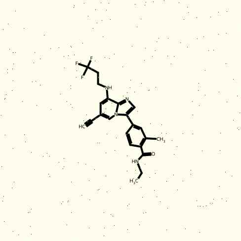 C#Cc1cc(NCCC(F)(F)F)c2ncc(-c3ccc(C(=O)NCC)c(C)c3)n2c1